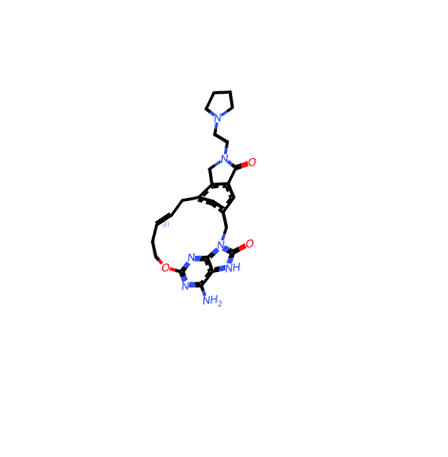 Nc1nc2nc3c1[nH]c(=O)n3Cc1cc(c3c(c1)C(=O)N(CCN1CCCC1)C3)C/C=C/CCO2